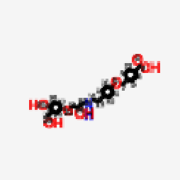 O=C(O)c1ccc(COc2ccc(CCNCC(O)COc3ccc(O)c(CO)c3)cc2)cc1